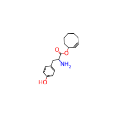 N[C@@H](Cc1ccc(O)cc1)C(=O)OC1C#CCCCCC1